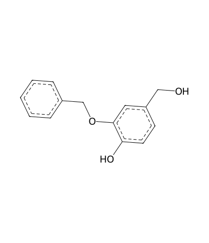 OCc1ccc(O)c(OCc2ccccc2)c1